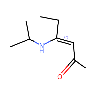 CC/C(=C/C(C)=O)NC(C)C